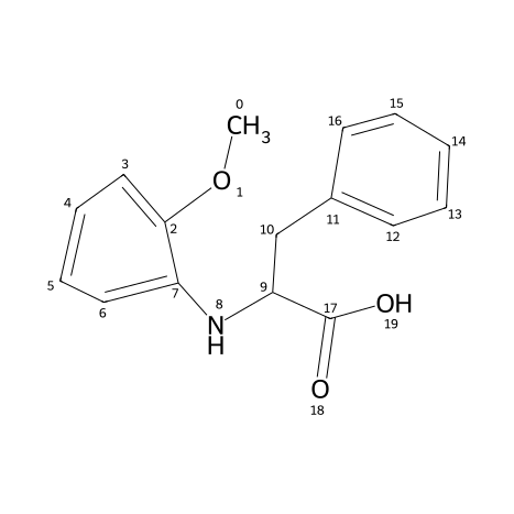 COc1ccccc1NC(Cc1ccccc1)C(=O)O